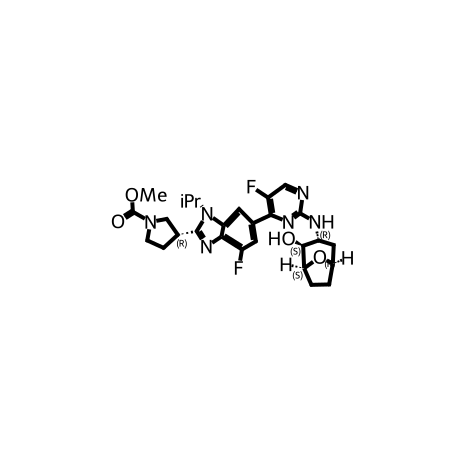 COC(=O)N1CC[C@@H](c2nc3c(F)cc(-c4nc(N[C@@H]5C[C@H]6CC[C@H](O6)[C@H]5O)ncc4F)cc3n2C(C)C)C1